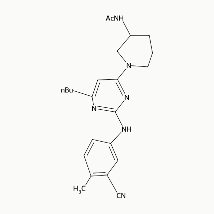 CCCCc1cc(N2CCCC(NC(C)=O)C2)nc(Nc2ccc(C)c(C#N)c2)n1